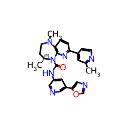 Cc1cc(-c2ccc3c(n2)N(C(=O)Nc2cncc(-c4cnco4)c2)[C@H](C)CCN3C)ccn1